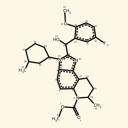 COC(=O)N1c2ccc3c(nc(C(O)c4cc(F)ccc4OC)n3C3CCCC(C)C3)c2CCC1C